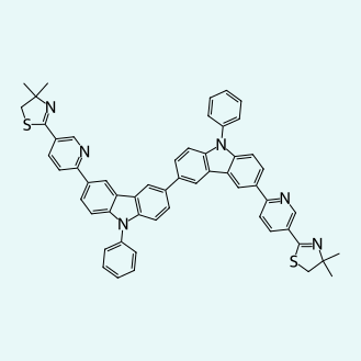 CC1(C)CSC(c2ccc(-c3ccc4c(c3)c3cc(-c5ccc6c(c5)c5cc(-c7ccc(C8=NC(C)(C)CS8)cn7)ccc5n6-c5ccccc5)ccc3n4-c3ccccc3)nc2)=N1